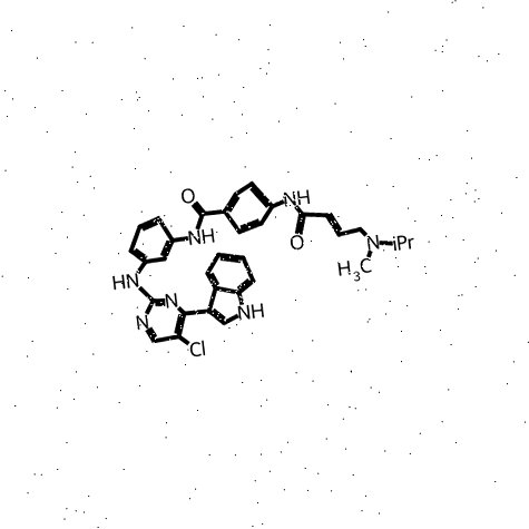 CC(C)N(C)C/C=C/C(=O)Nc1ccc(C(=O)Nc2cccc(Nc3ncc(Cl)c(-c4c[nH]c5ccccc45)n3)c2)cc1